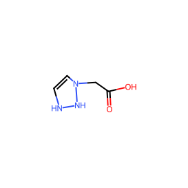 O=C(O)CN1C=CNN1